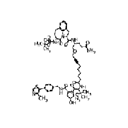 Cc1ncsc1-c1ccc(CNC(=O)[C@@H]2C[C@@H](O)CN2C(=O)[C@@H](NC(=O)CCCCCC#CCOC[C@H](CCC(N)=O)NC(=O)[C@@H]2Cc3cccc4c3N2C(=O)[C@@H](NC(=O)OC(C)(C)C)CC4)C(C)(C)C)cc1